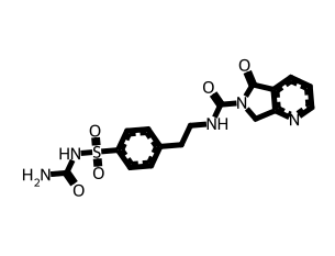 NC(=O)NS(=O)(=O)c1ccc(CCNC(=O)N2Cc3ncccc3C2=O)cc1